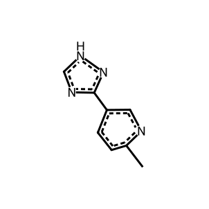 Cc1ccc(-c2nc[nH]n2)cn1